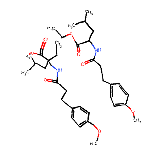 CCC(CC(C)C)(NC(=O)CCc1ccc(OC)cc1)C(=O)O.CCOC(=O)C(CC(C)C)NC(=O)CCc1ccc(OC)cc1